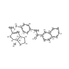 NC1=N[C@@]2(c3cc(NC(=O)c4cnc5ccccc5n4)ccc3F)CCC[C@H]2CS1